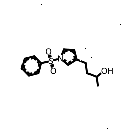 CC(O)CCc1ccn(S(=O)(=O)c2ccccc2)c1